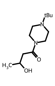 CC(O)CC(=O)N1CCN(C(C)(C)C)CC1